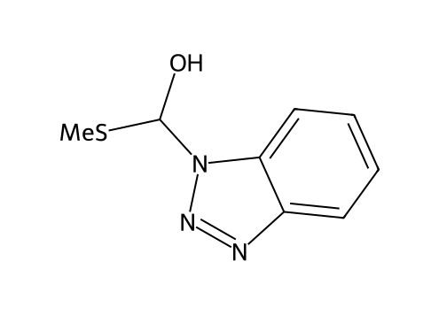 CSC(O)n1nnc2ccccc21